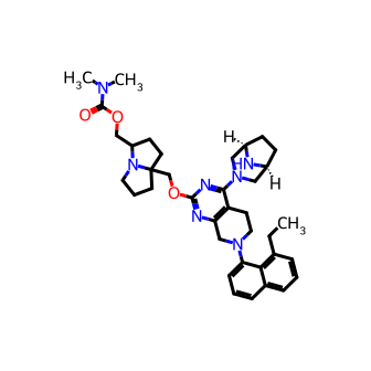 CCc1cccc2cccc(N3CCc4c(nc(OCC56CCCN5C(COC(=O)N(C)C)CC6)nc4N4C[C@H]5CC[C@@H](C4)N5)C3)c12